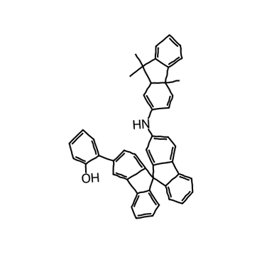 CC1(C)c2ccccc2C2(C)C=CC(Nc3ccc4c(c3)C3(c5ccccc5-c5cc(-c6ccccc6O)ccc53)c3ccccc3-4)=CC12